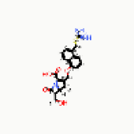 C[C@@H](O)[C@H]1C(=O)N2C(C(=O)O)=C(COc3cccc4c(CSC(=N)N)cccc34)[C@H](C)[C@H]12